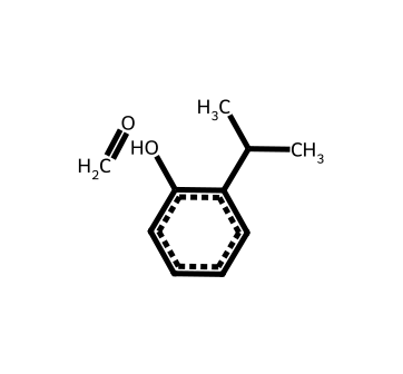 C=O.CC(C)c1ccccc1O